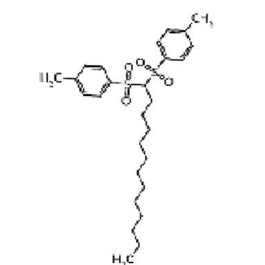 CCCCCCCCCCCCC(S(=O)(=O)c1ccc(C)cc1)S(=O)(=O)c1ccc(C)cc1